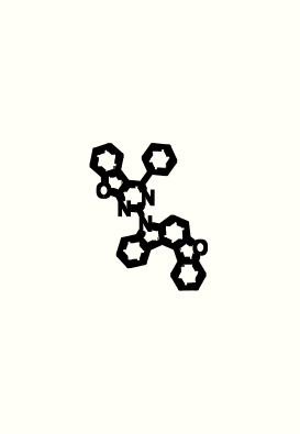 c1ccc(-c2nc(-n3c4ccccc4c4c5c(ccc43)oc3ccccc35)nc3oc4ccccc4c23)cc1